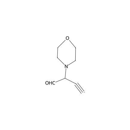 [C]#CC(C=O)N1CCOCC1